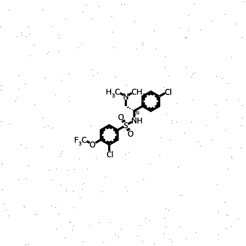 CN(C)C[C@@H](NS(=O)(=O)c1ccc(OC(F)(F)F)c(Cl)c1)c1ccc(Cl)cc1